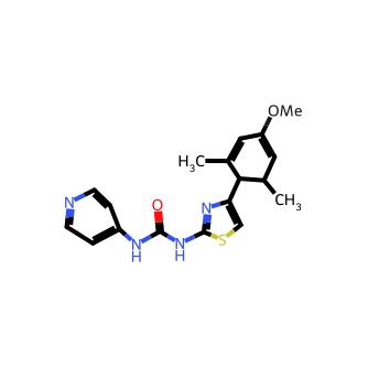 COC1=CC(C)C(c2csc(NC(=O)Nc3ccncc3)n2)C(C)=C1